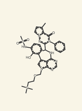 Cc1ccn2nc(C(C)Nc3ncnc4c3c(-c3cccc(NS(C)(=O)=O)c3O)cn4COCC[Si](C)(C)C)n(-c3ccccc3)c(=O)c12